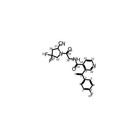 C=C(c1ccc(F)cc1)c1cnccc1C(=O)NCC(=O)N1CC(F)(F)CC1C#N